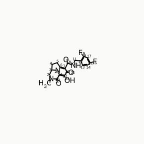 CN1CC2CCc3c(C(=O)NCc4ccc(F)cc4F)c(=O)c(O)c(n32)C1=O